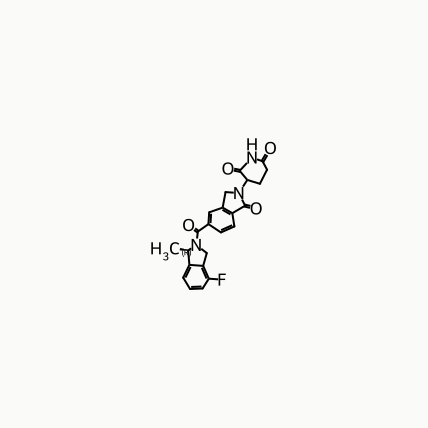 C[C@@H]1c2cccc(F)c2CN1C(=O)c1ccc2c(c1)CN(C1CCC(=O)NC1=O)C2=O